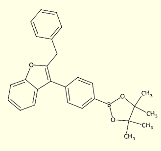 CC1(C)OB(c2ccc(-c3c(Cc4ccccc4)oc4ccccc34)cc2)OC1(C)C